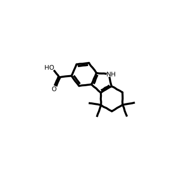 CC1(C)Cc2[nH]c3ccc(C(=O)O)cc3c2C(C)(C)C1